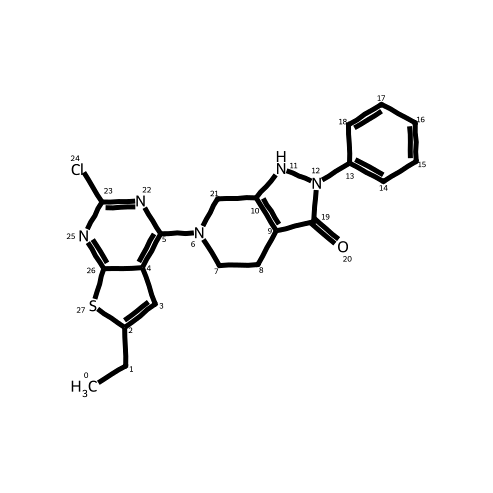 CCc1cc2c(N3CCc4c([nH]n(-c5ccccc5)c4=O)C3)nc(Cl)nc2s1